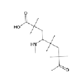 CNC(CC(C)(C)C(=O)O)C(C)(C)CC(C)(C)C(C)=O